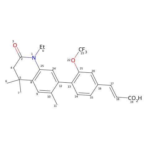 CCN1C(=O)CC(C)(C)c2cc(C)c(-c3ccc(C=CC(=O)O)cc3OC(F)(F)F)cc21